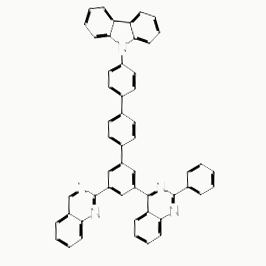 c1ccc(-c2nc(-c3cc(-c4ccc(-c5ccc(-n6c7ccccc7c7ccccc76)cc5)cc4)cc(-c4ncc5ccccc5n4)c3)c3ccccc3n2)cc1